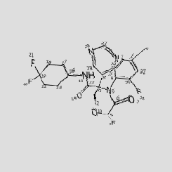 Cc1ccc(N(C(=O)[C@H](F)Cl)[C@](C)(C(=O)NC2CCC(F)(F)CC2)c2cncnc2)c(F)c1